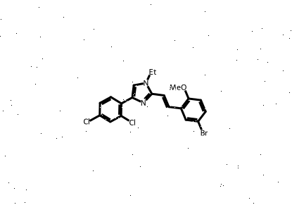 CCn1cc(-c2ccc(Cl)cc2Cl)nc1C=Cc1cc(Br)ccc1OC